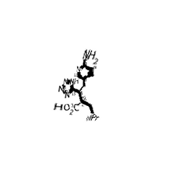 CC(C)C[C@H](C(=O)O)[C@H](Cc1ccc(N)nc1)c1nnn[nH]1